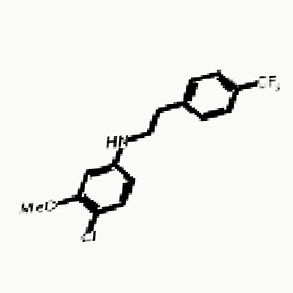 COc1cc(NCCc2ccc(C(F)(F)F)cc2)ccc1Cl